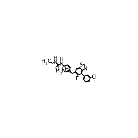 C=C(/C=C\C(=C/N)Cc1cc2scnc2c(-c2cccc(Cl)c2)c1F)NC(=O)NCC